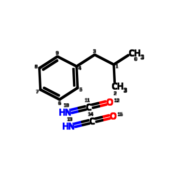 CC(C)Cc1ccccc1.N=C=O.N=C=O